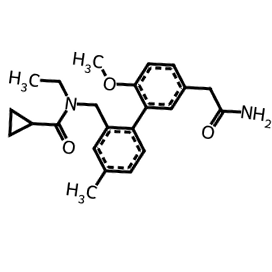 CCN(Cc1cc(C)ccc1-c1cc(CC(N)=O)ccc1OC)C(=O)C1CC1